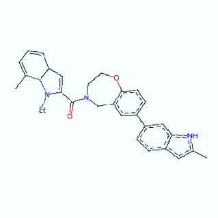 CCN1C(C(=O)N2CCOc3ccc(-c4ccc5cc(C)[nH]c5c4)cc3C2)=CC2C=CC=C(C)C21